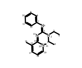 CCN(CC)C(=Nc1ccccc1)N=c1c(C)cccn1C